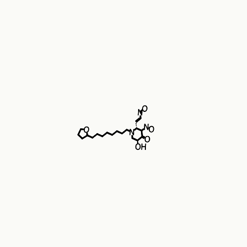 O=NC=C[C@@H]1C(N=O)C(=O)[C@@H](O)CN1CCCCCCCCC1CCCO1